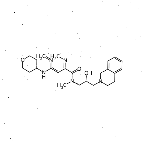 C=N/C(=C\C(=N/C)C(=O)N(C)C[C@H](O)CN1CCc2ccccc2C1)NC1CCOCC1